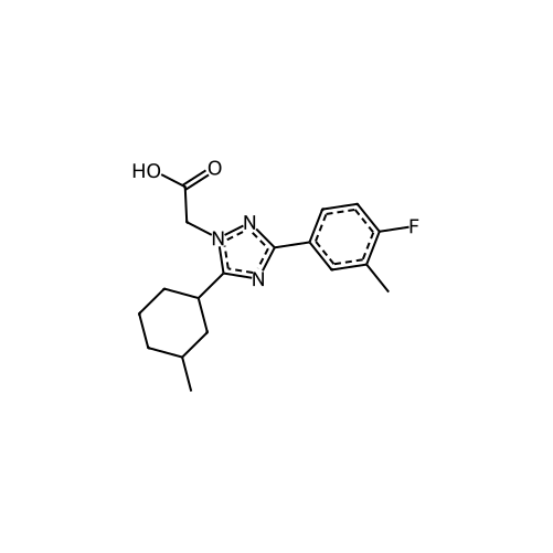 Cc1cc(-c2nc(C3CCCC(C)C3)n(CC(=O)O)n2)ccc1F